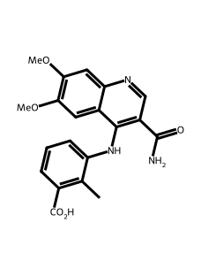 COc1cc2ncc(C(N)=O)c(Nc3cccc(C(=O)O)c3C)c2cc1OC